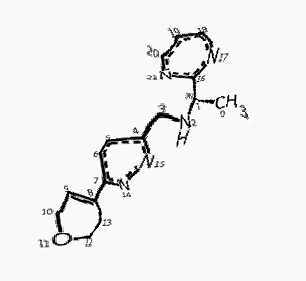 C[C@@H](NCc1ccc(C2=CCOCC2)nn1)c1ncccn1